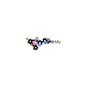 CC(=O)Nc1cn2nc(-c3cnc(C)c(C(=O)NCc4cc(F)ccc4OCC4CCCC4)c3)ccc2n1